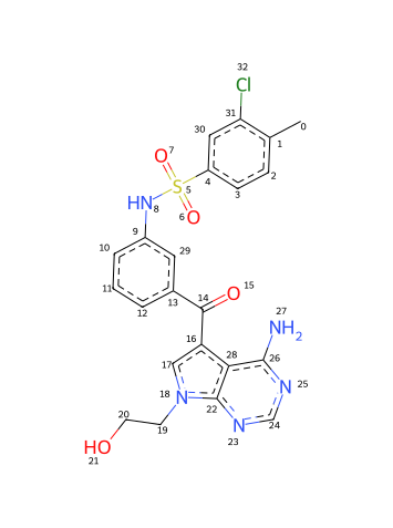 Cc1ccc(S(=O)(=O)Nc2cccc(C(=O)c3cn(CCO)c4ncnc(N)c34)c2)cc1Cl